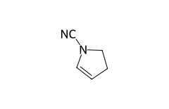 N#CN1C=CCC1